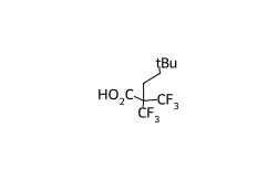 CC(C)(C)CCC(C(=O)O)(C(F)(F)F)C(F)(F)F